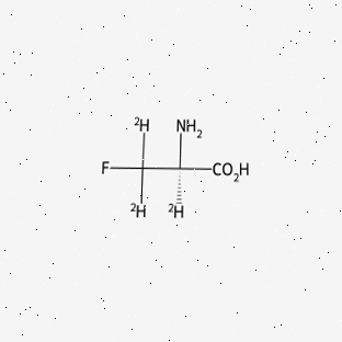 [2H]C([2H])(F)[C@@]([2H])(N)C(=O)O